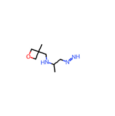 CC(CN=N)NCC1(C)COC1